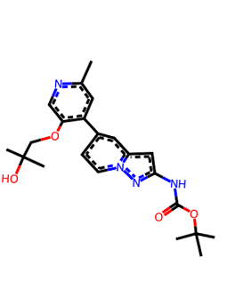 Cc1cc(-c2ccn3nc(NC(=O)OC(C)(C)C)cc3c2)c(OCC(C)(C)O)cn1